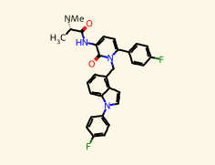 CN[C@@H](C)C(=O)Nc1ccc(-c2ccc(F)cc2)n(Cc2cccc3c2ccn3-c2ccc(F)cc2)c1=O